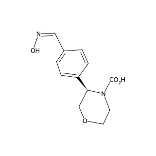 O=C(O)N1CCOC[C@H]1c1ccc(/C=N\O)cc1